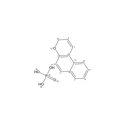 C1=Cc2c(ccc3ccccc23)OC1.O=P(O)(O)O